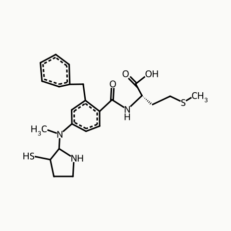 CSCC[C@H](NC(=O)c1ccc(N(C)C2NCCC2S)cc1Cc1ccccc1)C(=O)O